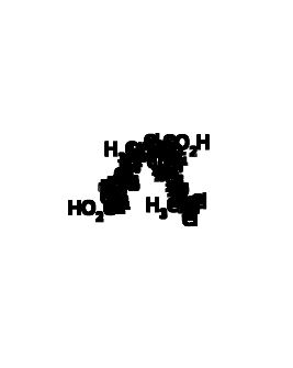 C[C@H](c1cc(Cl)c(C2C[C@@H](C(=O)O)N(C(=O)c3cc(C4CC4)c(OCC4CCN([C@@H](C)c5cc(Cl)cc(Cl)c5)CC4)cc3F)C2)c(Cl)c1)N1CCC(COc2cc(F)c(C(=O)N3CCC[C@H]3C(=O)O)cc2C2CC2)CC1